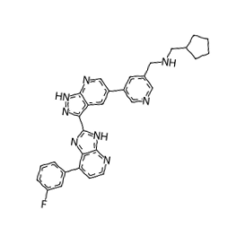 Fc1cccc(-c2ccnc3[nH]c(-c4n[nH]c5ncc(-c6cncc(CNCC7CCCC7)c6)cc45)nc23)c1